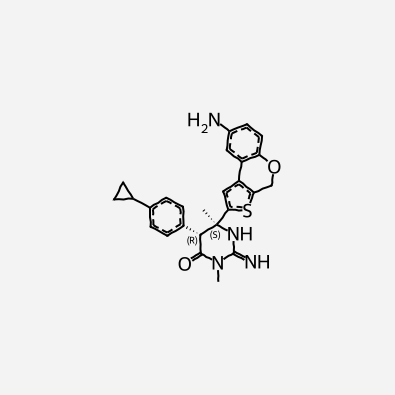 CN1C(=N)N[C@](C)(c2cc3c(s2)COc2ccc(N)cc2-3)[C@@H](c2ccc(C3CC3)cc2)C1=O